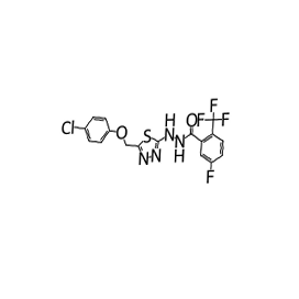 O=C(NNc1nnc(COc2ccc(Cl)cc2)s1)c1cc(F)ccc1C(F)(F)F